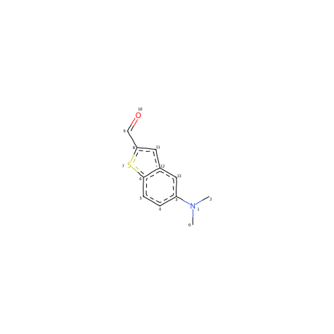 CN(C)c1ccc2sc(C=O)cc2c1